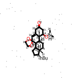 CCCC[C@H]1CC[C@H]2[C@H]3[C@H](CC[C@]12C)[C@]1(C)C(=CC32OCCO2)CC(=O)CC1O[SiH](C)C